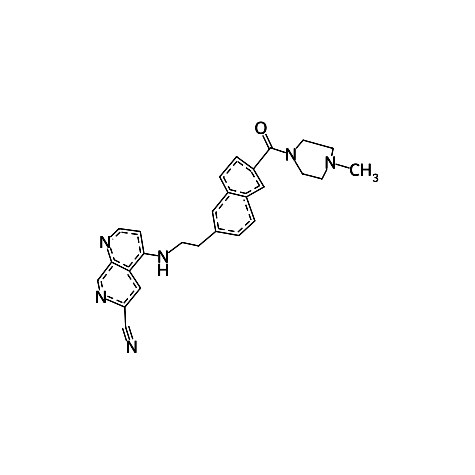 CN1CCN(C(=O)c2ccc3cc(CCNc4ccnc5cnc(C#N)cc45)ccc3c2)CC1